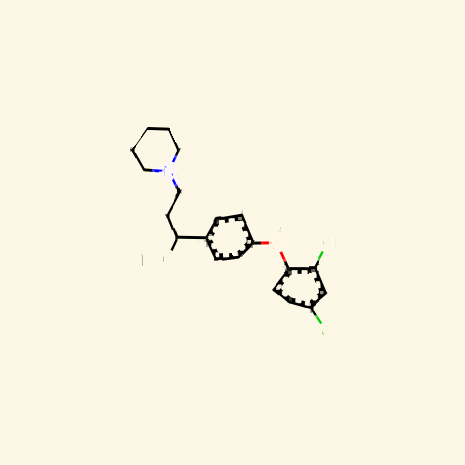 CC(CCN1CCCCC1)c1ccc(Oc2ccc(Cl)cc2Cl)cc1